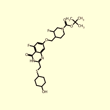 CC(C)(C)OC(=O)N1CCC(COc2cc(F)c3c(=O)[nH]c(CSC4CCC(O)CC4)nc3c2)C(F)C1